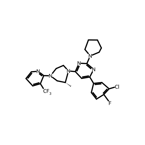 C[C@@H]1CN(c2ncccc2C(F)(F)F)CCN1c1cc(-c2ccc(F)c(Cl)c2)nc(N2CCCCC2)n1